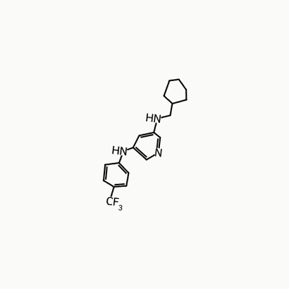 FC(F)(F)c1ccc(Nc2cncc(NCC3CCCCC3)c2)cc1